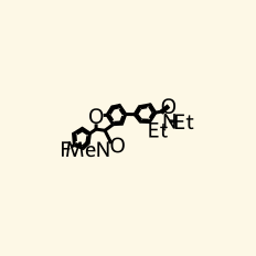 CCN(CC)C(=O)c1ccc(-c2ccc3c(c2)C(C(=O)NC)C(c2ccc(F)cc2)O3)cc1